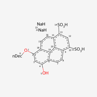 CCCCCCCCCCOc1cc(O)c2ccc3c(S(=O)(=O)O)cc(S(=O)(=O)O)c4ccc1c2c34.[NaH].[NaH]